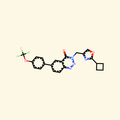 O=c1c2cc(-c3ccc(OC(F)(F)F)cc3)ccc2nnn1Cc1coc(C2CCC2)n1